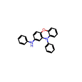 c1ccc(Nc2ccc3c(c2)N(c2ccccc2)c2ccccc2O3)cc1